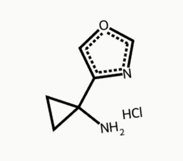 Cl.NC1(c2cocn2)CC1